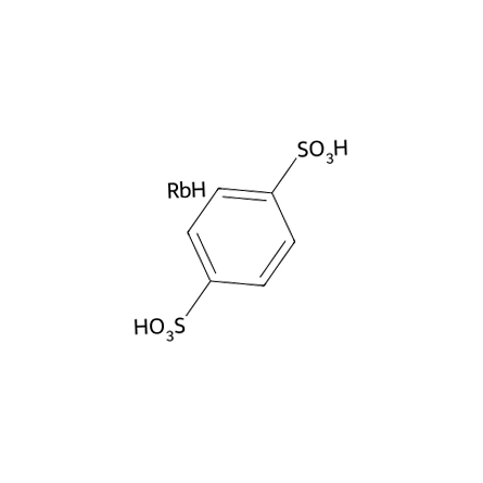 O=S(=O)(O)c1ccc(S(=O)(=O)O)cc1.[RbH]